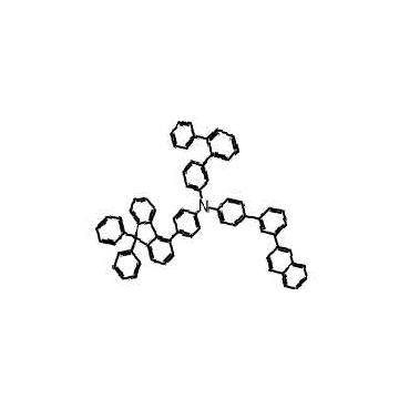 c1ccc(-c2ccccc2-c2cccc(N(c3ccc(-c4cccc(-c5ccc6ccccc6c5)c4)cc3)c3ccc(-c4cccc5c4-c4ccccc4C5(c4ccccc4)c4ccccc4)cc3)c2)cc1